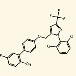 Oc1ccc(F)cc1-c1ccc(OCc2cc(C(F)(F)F)nn2-c2c(Cl)cccc2Cl)cc1